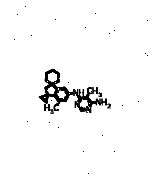 Cc1cc(Nc2ncnc(N)c2C)cc2c1C1(CC1)CC21CCCCC1